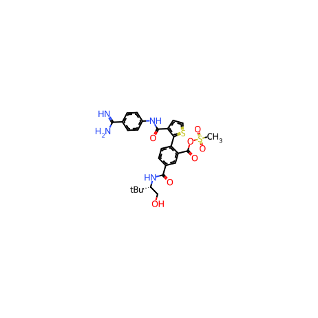 CC(C)(C)[C@@H](CO)NC(=O)c1ccc(-c2sccc2C(=O)Nc2ccc(C(=N)N)cc2)c(C(=O)OS(C)(=O)=O)c1